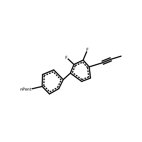 CC#Cc1ccc(-c2ccc(CCCCC)cc2)c(F)c1F